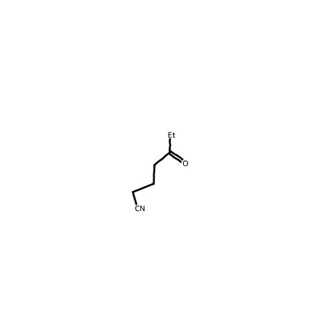 CCC(=O)CCCC#N